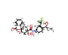 CC(=O)c1ccc(NC(=O)C2(O)CCC3(CC2)OC(=O)c2ccccc23)cc1C(F)(F)F